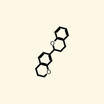 [c]1cccc2c1OC(c1ccc3c(c1)OCCC3)CC2